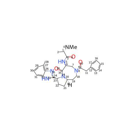 CN[C@@H](C)C(=O)N[C@H]1CN(C(=O)Cc2ccccc2)CC[C@H]2CC[C@@H](c3nc4c(C)cccc4[nH]3)N2C1=O